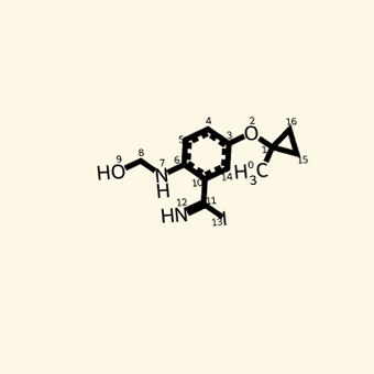 CC1(Oc2ccc(NCO)c(C(=N)I)c2)CC1